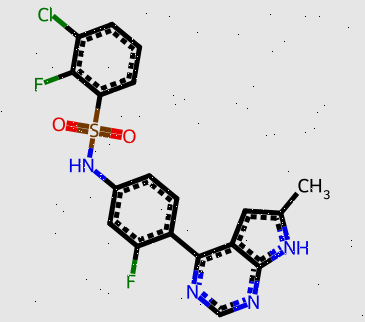 Cc1cc2c(-c3ccc(NS(=O)(=O)c4cccc(Cl)c4F)cc3F)ncnc2[nH]1